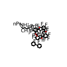 CCC[NH2+]CC(C)CCC(CC)CCC.FC1=C(F)[CH]([Al-]([CH]2C(F)=C(F)c3c(F)c(F)c(F)c(F)c32)([CH]2C(F)=C(F)c3c(F)c(F)c(F)c(F)c32)[CH]2C(F)=C(F)c3c(F)c(F)c(F)c(F)c32)c2c(F)c(F)c(F)c(F)c21.c1ccc(-c2ccccc2)cc1